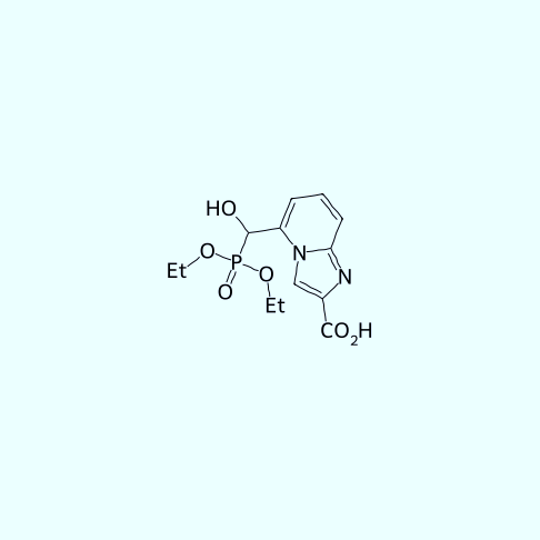 CCOP(=O)(OCC)C(O)c1cccc2nc(C(=O)O)cn12